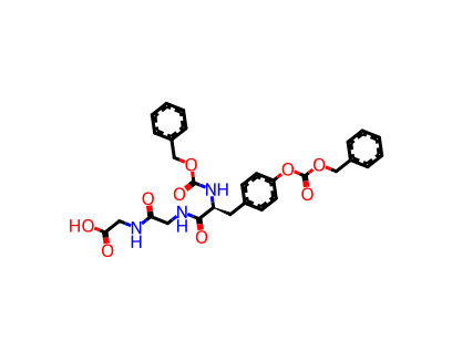 O=C(O)CNC(=O)CNC(=O)[C@H](Cc1ccc(OC(=O)OCc2ccccc2)cc1)NC(=O)OCc1ccccc1